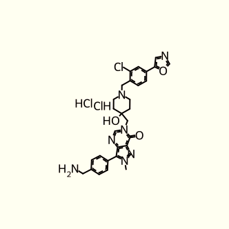 Cl.Cl.Cn1nc2c(=O)n(CC3(O)CCN(Cc4ccc(-c5cnco5)cc4Cl)CC3)cnc2c1-c1ccc(CN)cc1